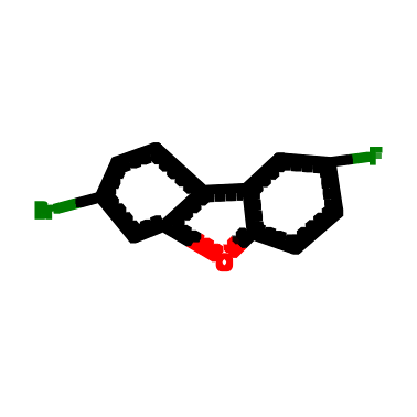 Fc1ccc2oc3cc(Br)ccc3c2c1